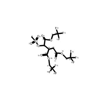 CS(=O)(=O)OC(C(=O)OCC(F)(F)F)C(CC(=O)OCC(F)(F)F)C(=O)OCC(F)(F)F